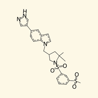 CC1(C)CC(Cn2ccc3cc(-c4cn[nH]c4)ccc32)CN1S(=O)(=O)c1cccc(S(C)(=O)=O)c1